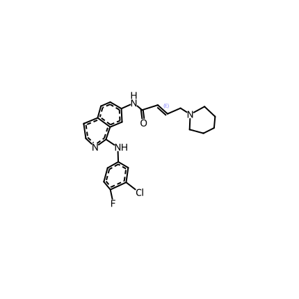 O=C(/C=C/CN1CCCCC1)Nc1ccc2ccnc(Nc3ccc(F)c(Cl)c3)c2c1